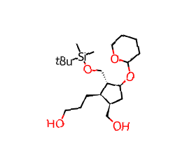 CC(C)(C)[Si](C)(C)OC[C@H]1[C@H](CCCO)[C@H](CO)C[C@@H]1OC1CCCCO1